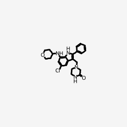 O=C1CN(Cc2c(-c3ccccc3)[nH]c3c(NC4CCOCC4)cc(Cl)cc23)CCN1